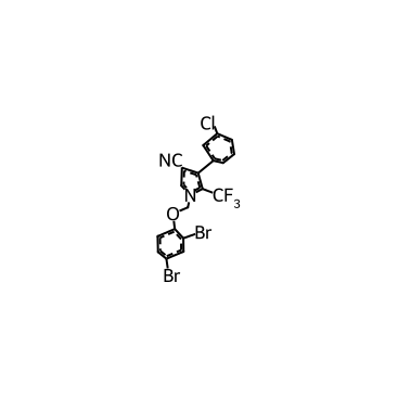 N#Cc1cn(COc2ccc(Br)cc2Br)c(C(F)(F)F)c1-c1cccc(Cl)c1